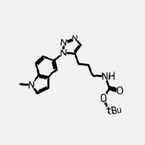 Cn1ccc2cc(-n3nncc3CCCNC(=O)OC(C)(C)C)ccc21